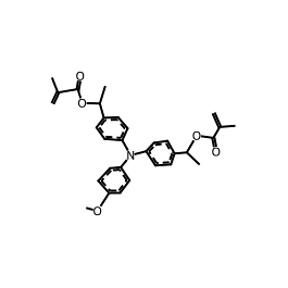 C=C(C)C(=O)OC(C)c1ccc(N(c2ccc(OC)cc2)c2ccc(C(C)OC(=O)C(=C)C)cc2)cc1